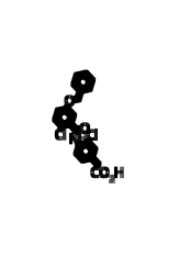 O=C(O)Cc1ccc(NC(=O)c2cc(OCc3ccccc3)ccc2Cl)c(Cl)c1